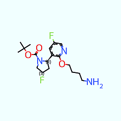 CC(C)(C)OC(=O)N1C[C@@H](F)C[C@@H]1c1cc(F)cnc1OCCCCN